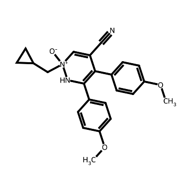 COc1ccc(C2=C(c3ccc(OC)cc3)C(C#N)=C[N+]([O-])(CC3CC3)N2)cc1